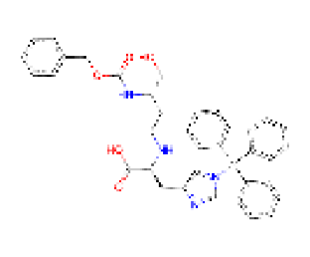 O=C(N[C@H](CO)CCN[C@@H](Cc1cn(C(c2ccccc2)(c2ccccc2)c2ccccc2)cn1)C(=O)O)OCc1ccccc1